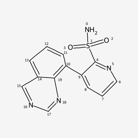 NS(=O)(=O)c1ncccc1-c1cccc2cncnc12